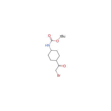 [CH]C(C)(C)OC(=O)NC1CCC(C(=O)CBr)CC1